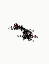 CCCCCCCCOc1c(C)c(-c2ccc(-c3cc(F)c(-c4ccc(-c5c(OCCCCCCCC)c(C)c(-c6cc7c(-c8cc(F)c(CC(CCCC)CCCC)s8)c8sc(C)cc8c(-c8cc(F)c(CC(CCCC)CCCC)s8)c7s6)c6nsnc56)s4)cc3F)s2)c2nsnc2c1C